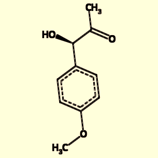 COc1ccc([C@@H](O)C(C)=O)cc1